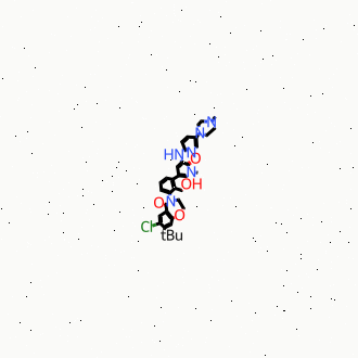 CN1CCN(c2ccc(Nc3cc(-c4cccc(N5CCOc6cc(C(C)(C)C)c(Cl)cc6C5=O)c4CO)cn(C)c3=O)nc2)CC1